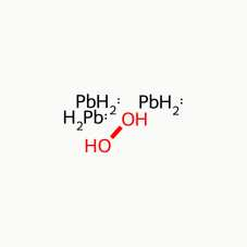 OO.[PbH2].[PbH2].[PbH2]